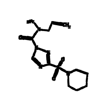 C=CCN(CCC)C(=O)n1cnc(S(=O)(=O)N2CCCCC2)n1